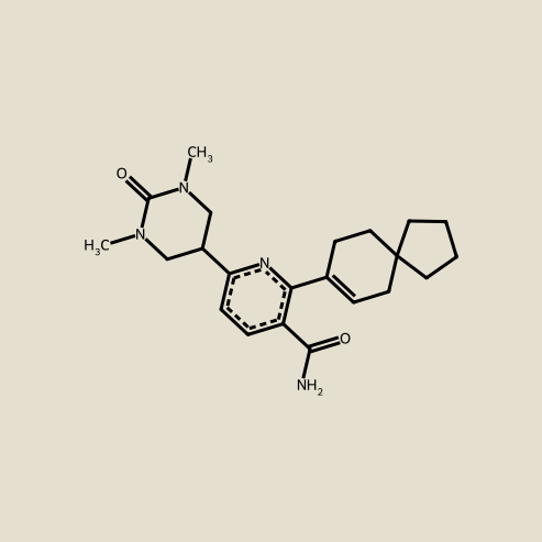 CN1CC(c2ccc(C(N)=O)c(C3=CCC4(CCCC4)CC3)n2)CN(C)C1=O